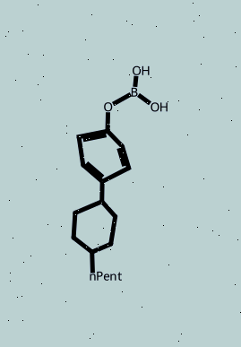 CCCCCC1CCC(c2ccc(OB(O)O)cc2)CC1